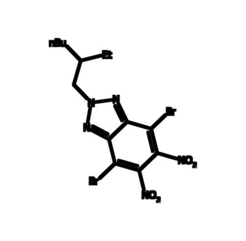 CCCCC(CC)Cn1nc2c(Br)c([N+](=O)[O-])c([N+](=O)[O-])c(Br)c2n1